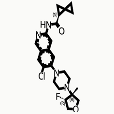 C[C@@]1(N2CCN(c3cc4cc(NC(=O)[C@H]5CC56CC6)ncc4cc3Cl)CC2)COC[C@@H]1F